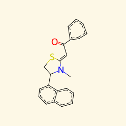 CN1C(=CC(=O)c2ccccc2)SCC1c1cccc2ccccc12